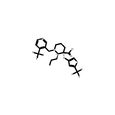 CCC[C@H]1N(Cc2cnccc2C(F)(F)F)CCC[C@@]1(Oc1csc(C(F)(F)F)c1)C(=O)Cl